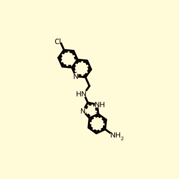 Nc1ccc2nc(NCc3ccc4cc(Cl)ccc4n3)[nH]c2c1